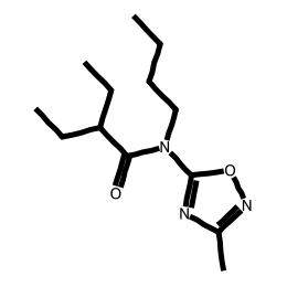 CCCCN(C(=O)C(CC)CC)c1nc(C)no1